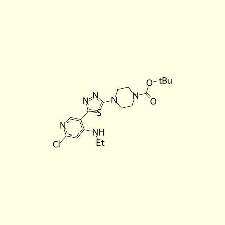 CCNc1cc(Cl)ncc1-c1nnc(N2CCN(C(=O)OC(C)(C)C)CC2)s1